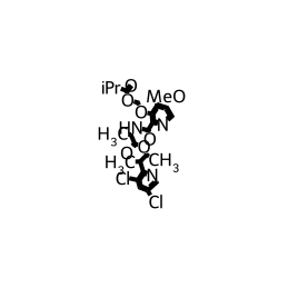 COc1ccnc(C(=O)NC(C)C(=O)OC(C)C(C)c2ncc(Cl)cc2Cl)c1OCOC(=O)C(C)C